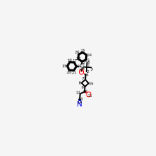 CC(C)(C)[Si](OCC1CC(C(=O)CC#N)C1)(c1ccccc1)c1ccccc1